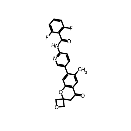 Cc1cc2c(cc1-c1ccc(NC(=O)c3c(F)cccc3F)nc1)OC1(COC1)CC2=O